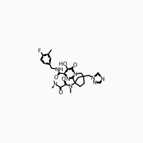 Cc1cc(CNC(=O)c2nc3n(c(=O)c2O)CC2(Cn4cncn4)CCC3(N(C)C(=O)C(=O)N(C)C)CC2)ccc1F